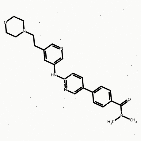 CN(C)C(=O)c1ccc(-c2ccc(Nc3cncc(CCN4CCOCC4)c3)nc2)cc1